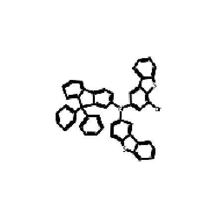 Brc1cc(N(c2ccc3c(c2)C(c2ccccc2)(c2ccccc2)c2ccccc2-3)c2ccc3sc4ccccc4c3c2)cc2c1sc1ccccc12